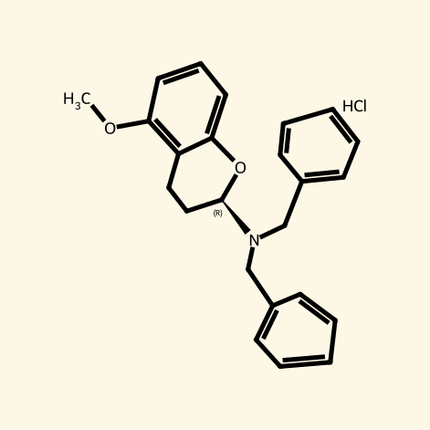 COc1cccc2c1CC[C@H](N(Cc1ccccc1)Cc1ccccc1)O2.Cl